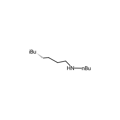 CCCCNCCCC[C@@H](C)CC